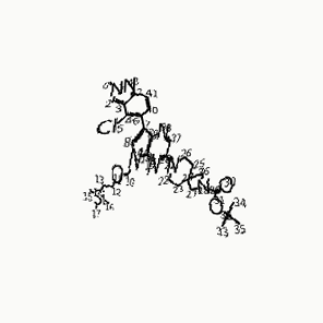 Cn1cc2c(Cl)c(-c3cn(COCC[Si](C)(C)C)c4nc(N5CCC6(CC5)CN(C(=O)OC(C)(C)C)C6)cnc34)ccc2n1